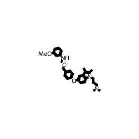 COc1cccc(NCOCc2ccc(Oc3ccc4c(c3)c(C)c(C)n4CCCN(C)C)cc2)c1